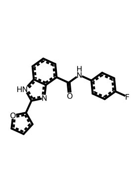 O=C(Nc1ccc(F)cc1)c1cccc2[nH]c(-c3ccco3)nc12